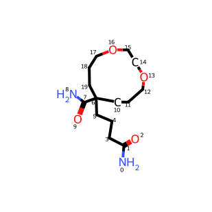 NC(=O)CCCC1(C(N)=O)CCCOCCOCCC1